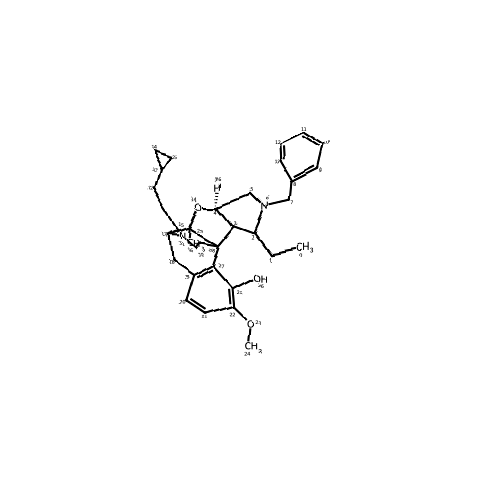 CCC1C2[C@H](CN1Cc1ccccc1)OC1(C)C3Cc4ccc(OC)c(O)c4C21CCN3CC1CC1